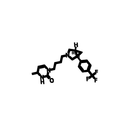 CC1C=CN(CCCCN2C[C@@H]3C[C@]3(c3ccc(C(F)(F)F)cc3)C2)C(=O)N1